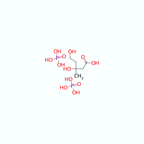 CC(O)(CCO)CC(=O)O.O=P(O)(O)O.O=P(O)(O)O